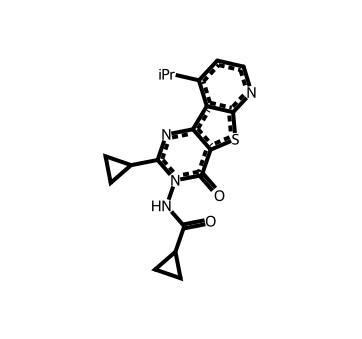 CC(C)c1ccnc2sc3c(=O)n(NC(=O)C4CC4)c(C4CC4)nc3c12